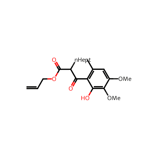 C=CCOC(=O)C(CCCCCCC)C(=O)c1c(C)cc(OC)c(OC)c1O